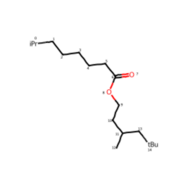 CC(C)CCCCCC(=O)OCCC(C)CC(C)(C)C